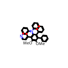 COc1c(OC)c(-c2ccncc2)c(N(c2ccccc2)c2ccccc2)c(-c2ccccc2)c1-c1ccccc1